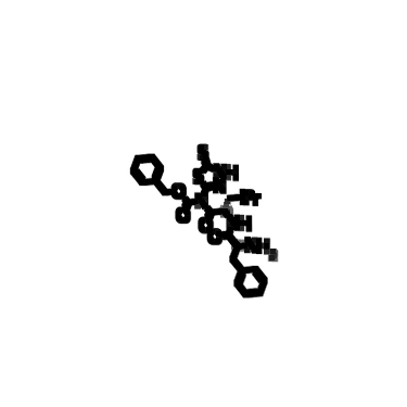 CC(C)C[C@H](NC(=O)[C@@H](N)Cc1ccccc1)C(=O)N(C(=O)OCc1ccccc1)c1n[nH]c(=S)s1